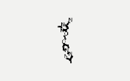 Cc1cnc(N2CCC(OCCOc3cc(C#N)nc(C)n3)CC2)nc1